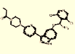 CCC(=O)N1CCN(c2ccc(-c3n[nH]c4ccc(O[C@H](N)c5c(Cl)cncc5Cl)cc34)cn2)CC1